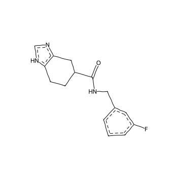 O=C(NCc1cccc(F)c1)C1CCc2[nH]cnc2C1